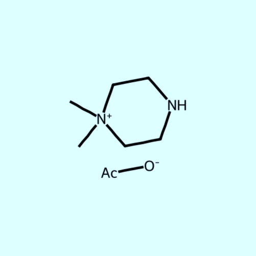 CC(=O)[O-].C[N+]1(C)CCNCC1